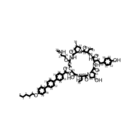 CCCCCOc1ccc(-c2ccc(-c3ccc(C(=O)N[C@H]4CCC(OCCNC)NC(=O)C5C[C@@H](C)CN5C(=O)C(CC)NC(=O)C(CCc5ccc(O)cc5)NC(=O)C5C[C@@H](O)CN5C(=O)C(CC)NC4=O)cc3)cc2)cc1